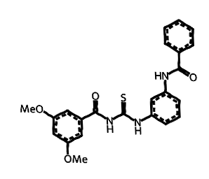 COc1cc(OC)cc(C(=O)NC(=S)Nc2cccc(NC(=O)c3ccccc3)c2)c1